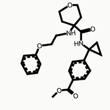 COC(=O)c1ccc(C2(NC(=O)C3(NCCOc4ccccc4)CCOCC3)CC2)cc1